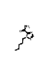 CCCCCn1ncnc1C(N)=O